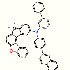 C[Si]1(C)c2ccc(N(c3ccc(-c4ccc5ccccc5c4)cc3)c3cccc(-c4ccccc4)c3)cc2-c2c1ccc1oc3ccccc3c21